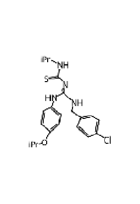 CC(C)NC(=S)N=C(NCc1ccc(Cl)cc1)Nc1ccc(OC(C)C)cc1